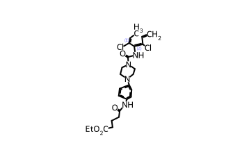 C=C/C(Cl)=C(NC(=O)N1CCN(c2ccc(NC(=O)CCCC(=O)OCC)cc2)CC1)\C(Cl)=C/C